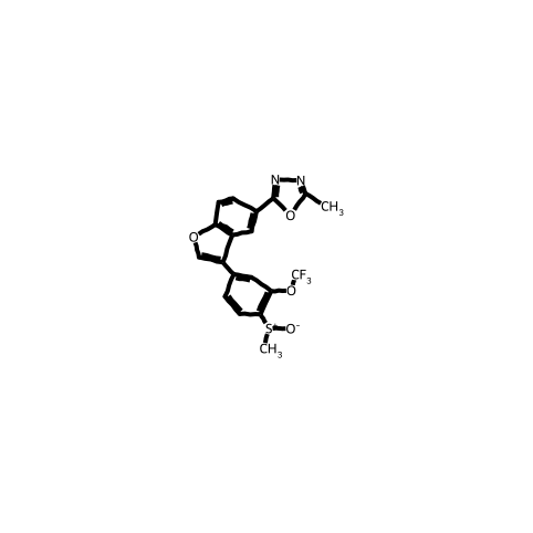 Cc1nnc(-c2ccc3occ(-c4ccc([S+](C)[O-])c(OC(F)(F)F)c4)c3c2)o1